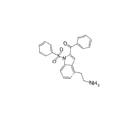 NCCc1cccc2c1cc(C(=O)c1ccccc1)n2S(=O)(=O)c1ccccc1